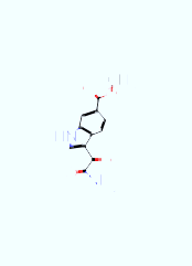 COC(=O)c1ccc2c(C(=O)C(N)=O)c[nH]c2c1